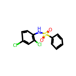 O=S(=O)(Nc1ccc(Cl)cc1Cl)c1ccccc1